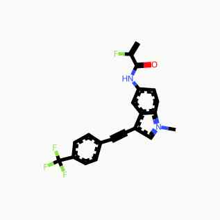 C=C(F)C(=O)Nc1ccc2c(c1)c(C#Cc1ccc(C(F)(F)F)cc1)cn2C